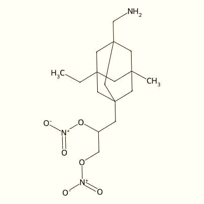 CCC12CC3(C)CC(CN)(C1)CC(CC(CO[N+](=O)[O-])O[N+](=O)[O-])(C3)C2